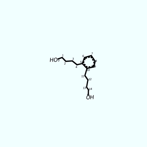 OCCCCc1ccccc1CCCCO